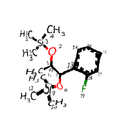 C[C@@H](O[Si](C)(C)C)C(O[Si](C)(C)C)c1ccccc1F